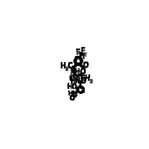 CC1NC(=O)C(NC(=O)c2cccc(NC=O)c2O)C(C)OC(=O)c2cc(C(F)(F)F)ccc21